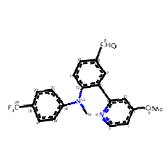 COc1ccnc(-c2cc(C=O)ccc2N(C)c2ccc(C(F)(F)F)cc2)c1